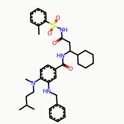 Cc1ccccc1S(=O)(=O)NC(=O)CC(NC(=O)c1ccc(N(C)CCC(C)C)c(NCc2ccccc2)c1)C1CCCCC1